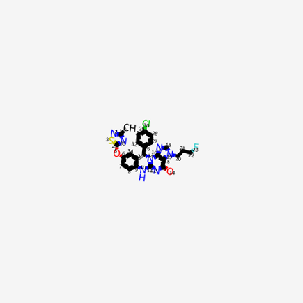 Cc1nsc(Oc2ccc(Nc3nc(=O)c4c(ncn4CCCF)n3Cc3ccc(Cl)cc3)cc2)n1